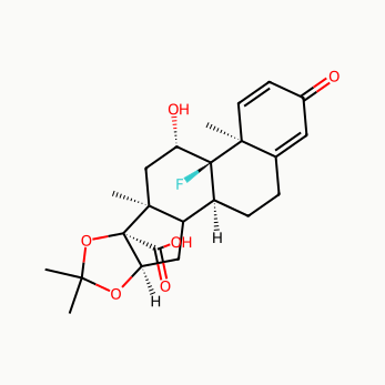 CC1(C)O[C@@H]2CC3[C@@H]4CCC5=CC(=O)C=C[C@]5(C)[C@@]4(F)[C@@H](O)C[C@]3(C)[C@]2(C(=O)O)O1